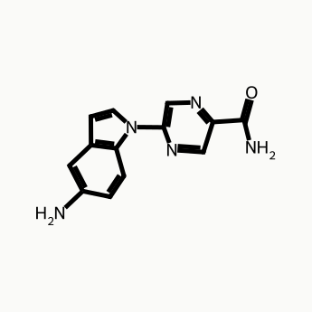 NC(=O)c1cnc(-n2ccc3cc(N)ccc32)cn1